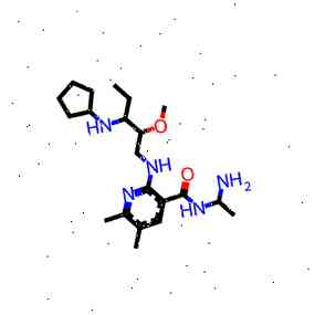 CCC(NC1CCCC1)C(CNc1nc(C)c(C)cc1C(=O)NC(C)N)OC